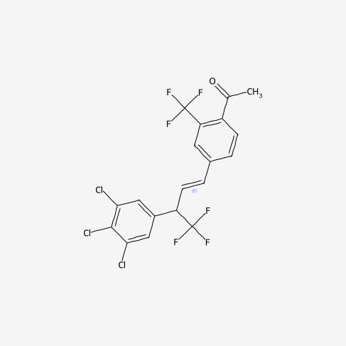 CC(=O)c1ccc(/C=C/C(c2cc(Cl)c(Cl)c(Cl)c2)C(F)(F)F)cc1C(F)(F)F